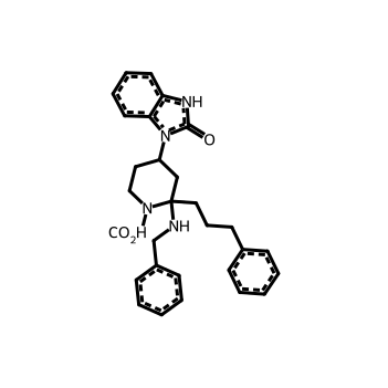 O=C(O)N1CCC(n2c(=O)[nH]c3ccccc32)CC1(CCCc1ccccc1)NCc1ccccc1